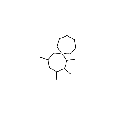 CC1CC(C)C(C)C(C)[N+]2(CCCCCC2)C1